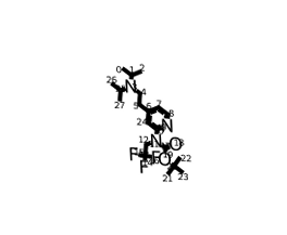 CC(C)N(CCc1ccnc(N(CC(F)(F)F)C(=O)OC(C)(C)C)c1)C(C)C